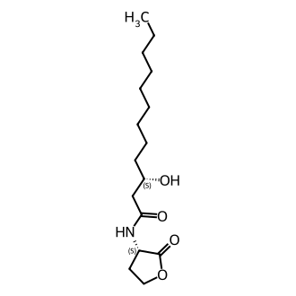 CCCCCCCCC[C@H](O)CC(=O)N[C@H]1CCOC1=O